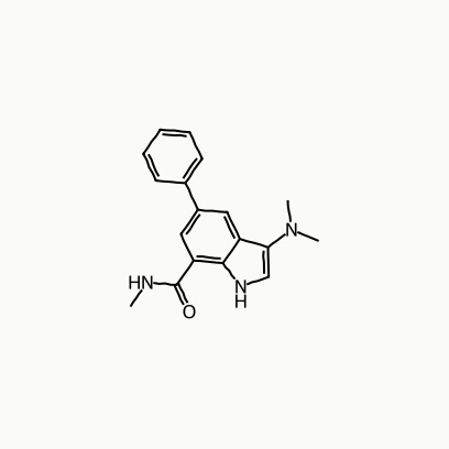 CNC(=O)c1cc(-c2ccccc2)cc2c(N(C)C)c[nH]c12